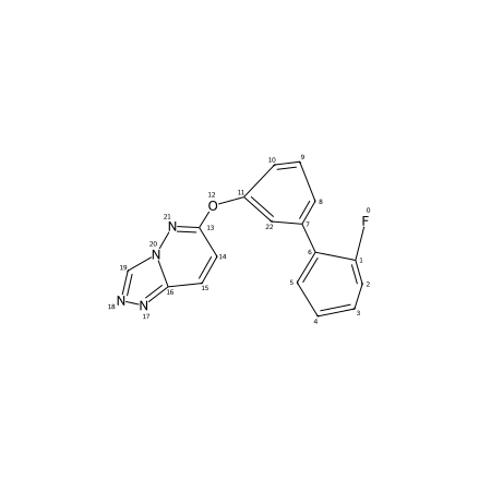 Fc1ccccc1-c1cccc(Oc2ccc3nncn3n2)c1